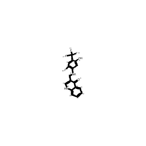 O=c1c(CNc2cc(O)c(C(F)(F)F)cc2F)c[nH]c2ccccc12